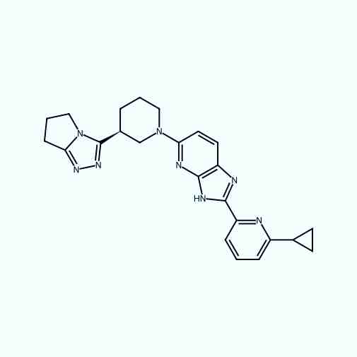 c1cc(-c2nc3ccc(N4CCC[C@H](c5nnc6n5CCC6)C4)nc3[nH]2)nc(C2CC2)c1